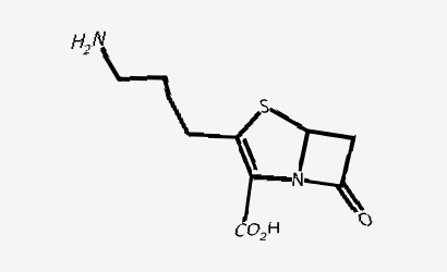 NCCCC1=C(C(=O)O)N2C(=O)CC2S1